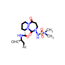 CC(=O)C[C@@H](C=O)NC(=O)[C@@H]1CCCN2C(=O)CCN(NS(=O)(=O)N(C)C)C(=O)N12